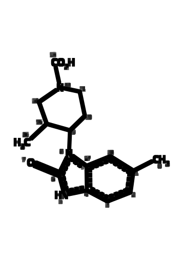 Cc1ccc2[nH]c(=O)n(C3CCN(C(=O)O)CC3C)c2c1